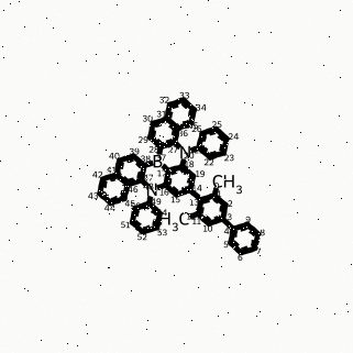 Cc1cc(-c2ccccc2)cc(C)c1-c1cc2c3c(c1)N(c1ccccc1)c1c(ccc4ccccc14)B3c1ccc3ccccc3c1N2c1ccccc1